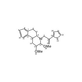 C=C(CN1C2CCc3ccccc3C2CC(OC)C1OC)c1cccs1